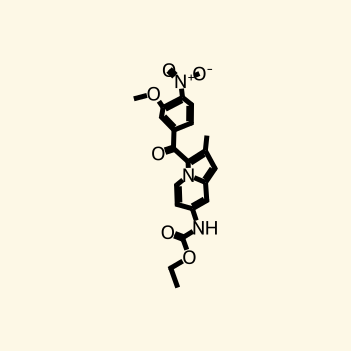 CCOC(=O)Nc1ccn2c(C(=O)c3ccc([N+](=O)[O-])c(OC)c3)c(C)cc2c1